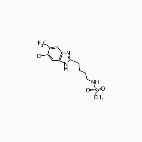 CS(=O)(=O)NCCCCc1nc2cc(C(F)(F)F)c(Cl)cc2[nH]1